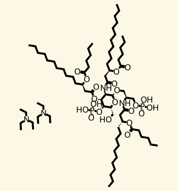 CCCCCCCCCCC[C@H](CC(=O)N[C@@H](CO[C@@H]1O[C@H](CO)[C@@H](OP(=O)(O)O)[C@H](OC(=O)C[C@@H](CCCCCCCCCCC)OC(=O)CCCCC)[C@H]1NC(=O)C[C@@H](CCCCCCCCCCC)OC(=O)CCCCC)COP(=O)(O)O)OC(=O)CCCCC.CCN(CC)CC.CCN(CC)CC